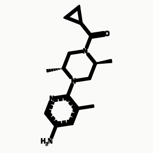 Cc1cc(N)cnc1N1C[C@H](C)N(C(=O)C2CC2)C[C@H]1C